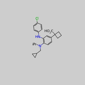 CC(C)N(CC1CC1)c1ccc(C2(C(=O)O)CCC2)cc1Nc1ccc(Cl)cc1